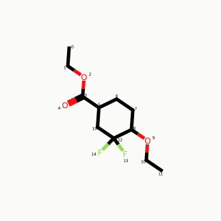 CCOC(=O)C1CCC(OCC)C(F)(F)C1